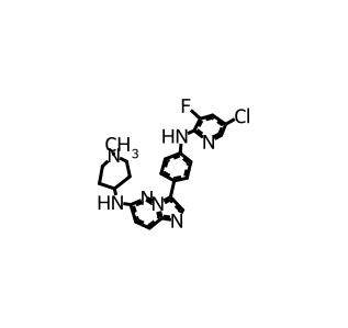 CN1CCC(Nc2ccc3ncc(-c4ccc(Nc5ncc(Cl)cc5F)cc4)n3n2)CC1